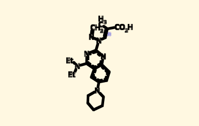 C=NN(/C=C(\C)C(=O)O)c1nc(N(CC)CC)c2cc(N3CCCCC3)ccc2n1